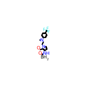 BC(=O)Nc1ccn(CCN(C)c2ccc(C(F)(F)F)cc2)c1C=O